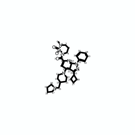 CN1CCCN(C(=O)c2cc(N3CCC(CN4CCCC4)CC3)c3c(C4CCC4)nn(-c4ccccc4)c3n2)S1(=O)=O